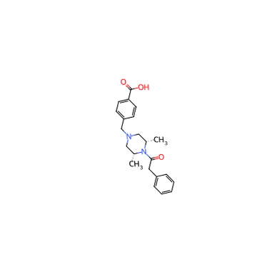 C[C@@H]1CN(Cc2ccc(C(=O)O)cc2)C[C@H](C)N1C(=O)Cc1ccccc1